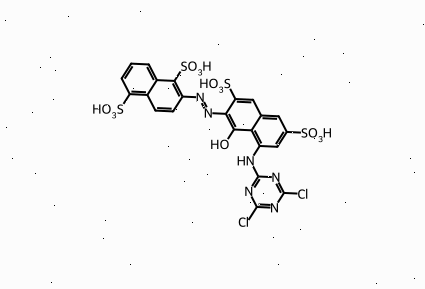 O=S(=O)(O)c1cc(Nc2nc(Cl)nc(Cl)n2)c2c(O)c(N=Nc3ccc4c(S(=O)(=O)O)cccc4c3S(=O)(=O)O)c(S(=O)(=O)O)cc2c1